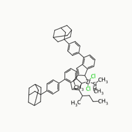 CCCC(C)C1=Cc2c(-c3ccc(C45CC6CC(CC(C6)C4)C5)cc3)cccc2[CH]1[Zr]([Cl])([Cl])([CH]1C(CC)=Cc2c(-c3ccc(C45CC6CC(CC(C6)C4)C5)cc3)cccc21)[SiH](C)C